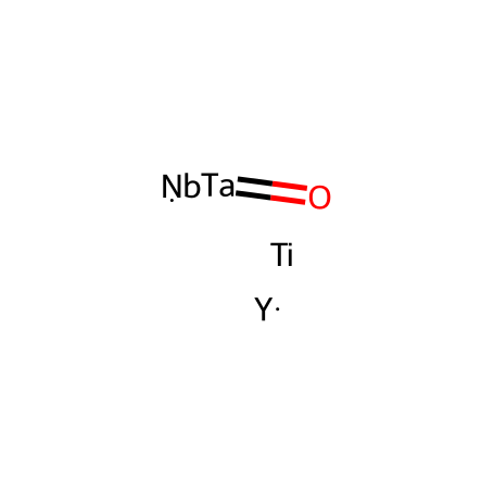 [Nb].[O]=[Ta].[Ti].[Y]